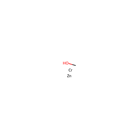 CO.[Cr].[Zn]